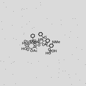 CNc1ccc(OP(O)O)c(CC(=O)O[C@@H](C(=O)O[C@H]2C[C@@]3(O)[C@@H](OC(=O)c4ccccc4)[C@@H]4[C@]5(OC(C)=O)CO[C@@H]5C[C@H](O)[C@@]4(C)C(=O)[C@H](OC(C)=O)C(=C2C)C3(C)C)[C@@H](NC(=O)c2ccccc2)c2ccccc2)c1